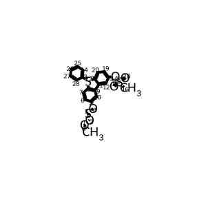 COOSOc1ccc2c(c1)c1cc(OS(C)(=O)=O)ccc1[s+]2-c1ccccc1